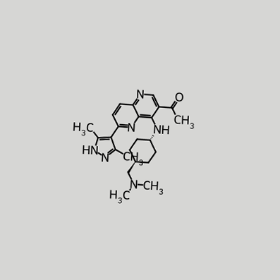 CC(=O)c1cnc2ccc(-c3c(C)n[nH]c3C)nc2c1N[C@H]1CC[C@H](CN(C)C)CC1